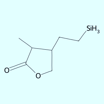 CC1C(=O)OCC1CC[SiH3]